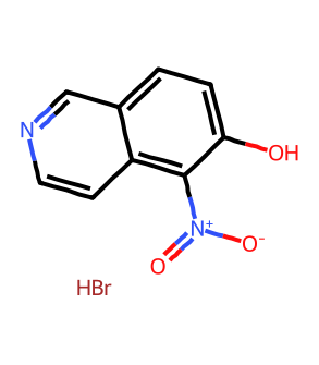 Br.O=[N+]([O-])c1c(O)ccc2cnccc12